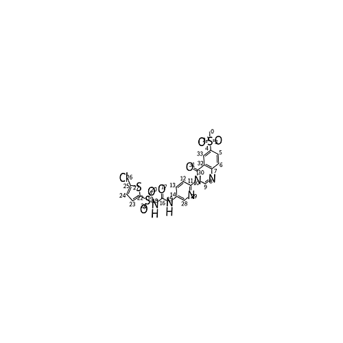 CS(=O)(=O)c1ccc2ncn(-c3ccc(NC(=O)NS(=O)(=O)c4ccc(Cl)s4)cn3)c(=O)c2c1